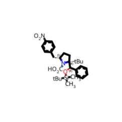 CC(C)(C)[C@@]1([C@H](O[Si](C)(C)C(C)(C)C)c2ccccc2)CC[C@@H](Cc2ccc([N+](=O)[O-])cc2)N1C(=O)O